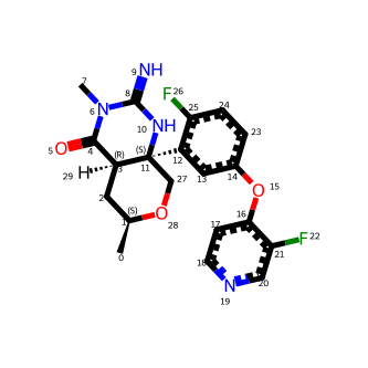 C[C@H]1C[C@H]2C(=O)N(C)C(=N)N[C@@]2(c2cc(Oc3ccncc3F)ccc2F)CO1